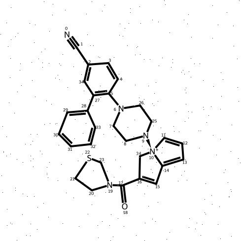 N#Cc1ccc(N2CCN([N@@+]34C=CC=C3C=C(C(=O)N3CCSC3)C4)CC2)c(-c2ccccc2)c1